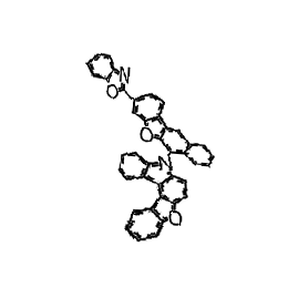 c1ccc2c(-n3c4ccccc4c4c5c(ccc43)oc3ccccc35)c3oc4cc(-c5nc6ccccc6o5)ccc4c3cc2c1